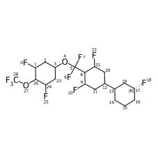 FC1CC(OC(F)(F)C2C(F)CC(C3CCC[C@@H](F)C3)CC2F)CC(F)C1OC(F)(F)F